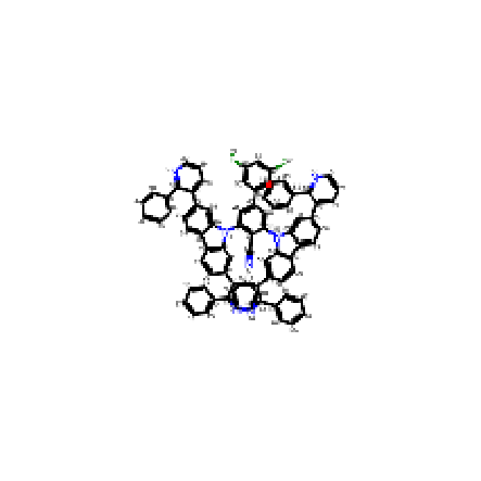 N#Cc1c(-n2c3cc(-c4cccnc4-c4ccccc4)ccc3c3ccc(-c4cccnc4-c4ccccc4)cc32)cc(-c2cc(F)cc(F)c2)cc1-n1c2cc(-c3cccnc3-c3ccccc3)ccc2c2ccc(-c3cccnc3-c3ccccc3)cc21